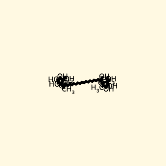 CC(O)C(CCCCCCCCCCCCCCCCC(O)C(C)OC1OC(CO)C(O)C(O)C1O)OC1OC(CO)C(O)C(O)C1C